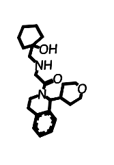 O=C(CNCC1(O)CCCCC1)N1CCc2ccccc2C1C1CCOCC1